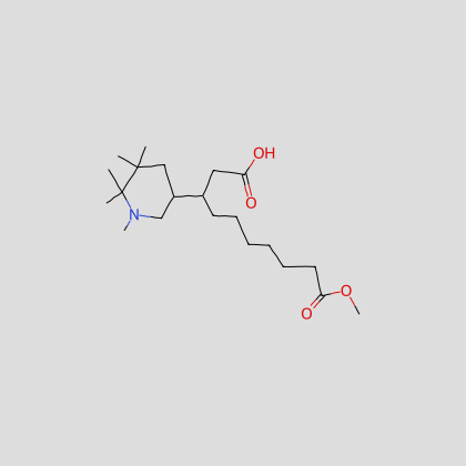 COC(=O)CCCCCCC(CC(=O)O)C1CN(C)C(C)(C)C(C)(C)C1